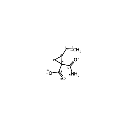 C=CC1CC1(C(N)=O)C(=O)O